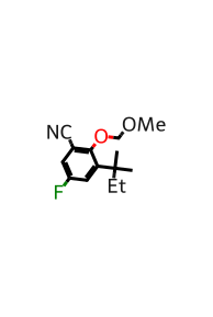 CCC(C)(C)c1cc(F)cc(C#N)c1OCOC